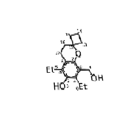 CCc1c(O)c(CC)c2c(c1CO)OC1(CCC1)CC2